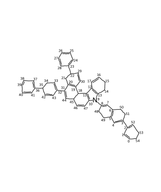 C1=CC(C2=CC3=C(C=C(n4c5c(c6c4CCC=C6)C4C6=C(CC(c7ccccc7)C=C6)C(C6=CCC(c7ccccc7)C=C6)=CC4C=C5)CC3)CC2)=CCC1